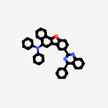 c1ccc(-c2nc(-c3ccc4oc5c6ccccc6c(N(c6ccccc6)c6ccccc6)cc5c4c3)nc3ccccc23)cc1